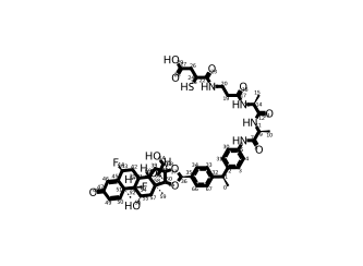 C[C@H](c1ccc(NC(=O)[C@H](C)NC(=O)[C@H](C)NC(=O)CCNC(=O)C(S)CC(=O)O)cc1)c1ccc([C@@H]2O[C@@H]3C[C@H]4[C@@H]5C[C@H](F)C6=CC(=O)C=C[C@]6(C)[C@@]5(F)[C@@H](O)C[C@]4(C)[C@]3(C(=O)CO)O2)cc1